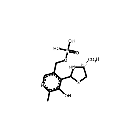 Cc1ncc(COP(=O)(O)O)c(C2N[C@H](C(=O)O)CS2)c1O